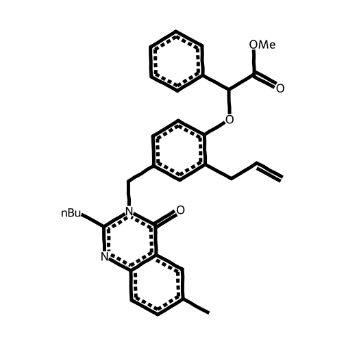 C=CCc1cc(Cn2c(CCCC)nc3ccc(C)cc3c2=O)ccc1OC(C(=O)OC)c1ccccc1